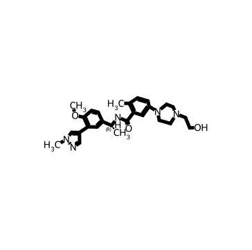 COc1ccc([C@@H](C)NC(=O)c2cc(N3CCN(CCO)CC3)ccc2C)cc1-c1cnn(C)c1